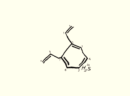 C=Cc1ccccc1C=C.S